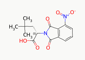 CC(C)(C)C[C@@H](C(=O)O)N1C(=O)c2cccc([N+](=O)[O-])c2C1=O